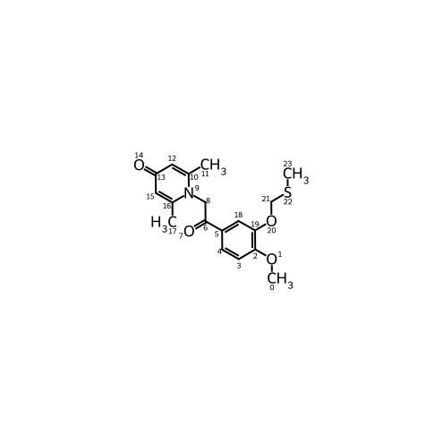 COc1ccc(C(=O)Cn2c(C)cc(=O)cc2C)cc1OCSC